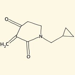 C=C1C(=O)CCN(CC2CC2)C1=O